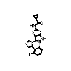 O=C(Nc1nc2[nH]nc(-n3cncc3-c3c(F)cccc3F)c2s1)C1CC1